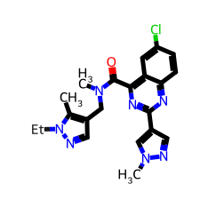 CCn1ncc(CN(C)C(=O)c2nc(-c3cnn(C)c3)nc3ccc(Cl)cc23)c1C